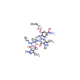 CC/C=C/N=C(/NC(=O)c1cc(C)nn1CC)N(C)[C@@H](CCCn1c(NC(=O)c2cc(C)nn2CC)nc2cc(C(N)=O)cc(OCCCNC)c21)COCC